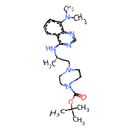 C[C@@H](CN1CCN(C(=O)OC(C)(C)C)CC1)Nc1ncnc2c(N(C)C)cccc12